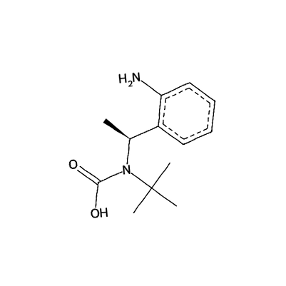 C[C@@H](c1ccccc1N)N(C(=O)O)C(C)(C)C